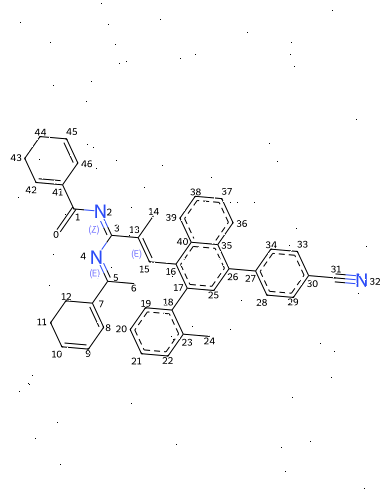 C=C(/N=C(\N=C(/C)C1=CC=CCC1)C(/C)=C/c1c(-c2ccccc2C)cc(-c2ccc(C#N)cc2)c2ccccc12)C1=CCCC=C1